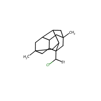 CCC(Cl)C12CC3(C)CC4C5CC(C)(CC41)CC2C5C3